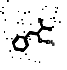 COC(=Cc1ccccc1)C(=O)Br